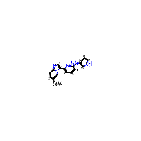 COc1ccc2ncc(-c3cccc(NC4CCNC4)n3)n2c1